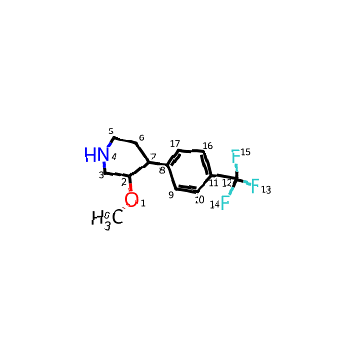 COC1CNCCC1c1ccc(C(F)(F)F)cc1